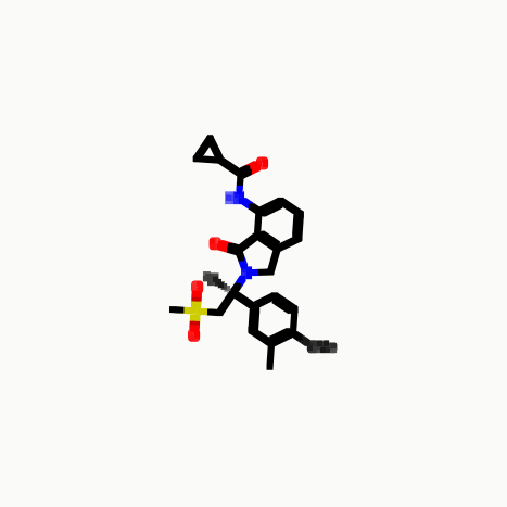 [2H][C@@](CS(C)(=O)=O)(c1ccc(OC)c(C)c1)N1Cc2cccc(NC(=O)C3CC3)c2C1=O